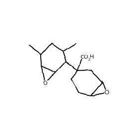 CC1CC(C)C(C2(C(=O)O)CCC3OC3C2)C2OC12